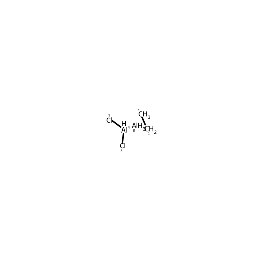 [AlH3].[CH2]C.[Cl][AlH][Cl]